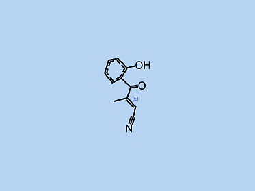 C/C(=C\C#N)C(=O)c1ccccc1O